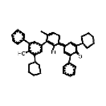 CCC1=C(c2cc(-c3ccccc3)c(O)c(C3CCCCC3)c2)C(C)=CCC1=C1C=C(c2ccccc2)C(=O)C(C2CCCCC2)=C1